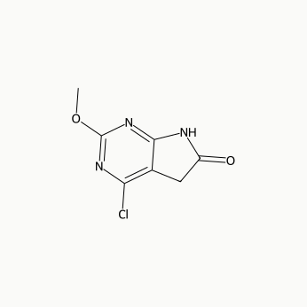 COc1nc(Cl)c2c(n1)NC(=O)C2